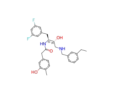 CCc1cccc(CNC[C@@H](O)[C@H](Cc2cc(F)cc(F)c2)NC(=O)Cc2ccc(C)c(O)c2)c1